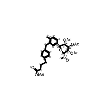 COC(=O)CCCc1ccc(Cc2cc([C@@H]3O[C@H]([S+](C)[O-])[C@@H](OC(C)=O)[C@H](OC(C)=O)[C@H]3OC(C)=O)ccc2C)cc1